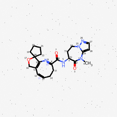 CN1C(=O)[C@@H](NC(=O)/C2=N/C3=C(/C=C\CC2)COC32CCCC2)CCn2nccc21